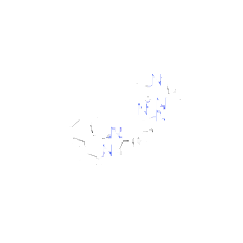 Cc1ncc(C)n2nc([C@@H]3C[C@H]3c3nc4c5ccccc5ccn4c3C)nc12